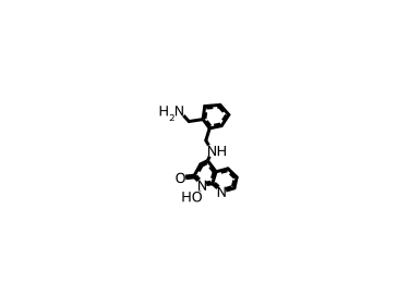 NCc1ccccc1CNc1cc(=O)n(O)c2ncccc12